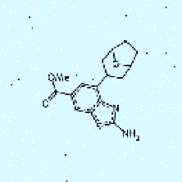 COC(=O)c1cc(C2CC3CCC(C2)O3)c2nc(N)sc2c1